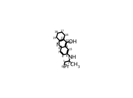 CC(C)CC(C)Nc1ccc2nc3c(c(O)c2c1)CCCC3